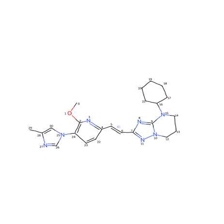 COc1nc(/C=C/c2nc3n(n2)CCCN3C2CCCCC2)ccc1-n1cnc(C)c1